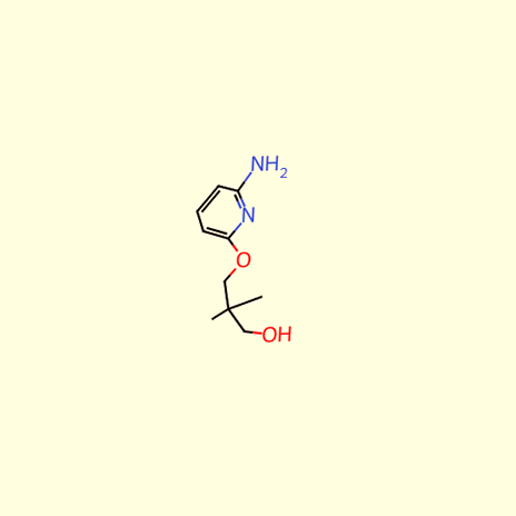 CC(C)(CO)COc1cccc(N)n1